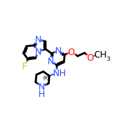 COCCOc1cc(N[C@@H]2CCCNC2)nc(-c2cnc3ccc(F)cn23)n1